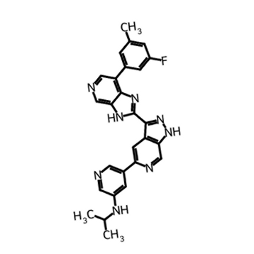 Cc1cc(F)cc(-c2cncc3[nH]c(-c4n[nH]c5cnc(-c6cncc(NC(C)C)c6)cc45)nc23)c1